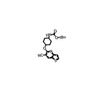 CC(C)(C)OC(=O)NC1CCC(Oc2nc3ccsc3cc2C#N)CC1